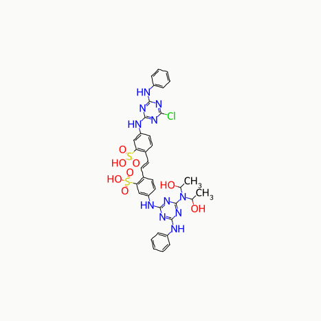 CC(O)N(c1nc(Nc2ccccc2)nc(Nc2ccc(C=Cc3ccc(Nc4nc(Cl)nc(Nc5ccccc5)n4)cc3S(=O)(=O)O)c(S(=O)(=O)O)c2)n1)C(C)O